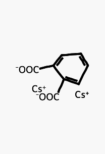 O=C([O-])c1ccccc1C(=O)[O-].[Cs+].[Cs+]